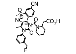 CC1=C(C#N)[C@@H](c2ccc(C#N)cc2S(C)(=O)=O)N(C(=O)N2CCCCC2CC(=O)O)C(=O)N1c1cccc(CF)c1